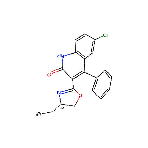 CC(C)C[C@H]1COC(c2c(-c3ccccc3)c3cc(Cl)ccc3[nH]c2=O)=N1